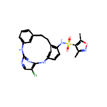 Cc1noc(C)c1S(=O)(=O)Nc1ccc2cc1CCc1cccc(c1)Nc1ncc(Cl)c(n1)N2